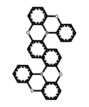 c1ccc2c(c1)Oc1cccc3c1B2c1c(ccc2c4c(ccc12)Oc1cccc2c1B4c1ccccc1O2)O3